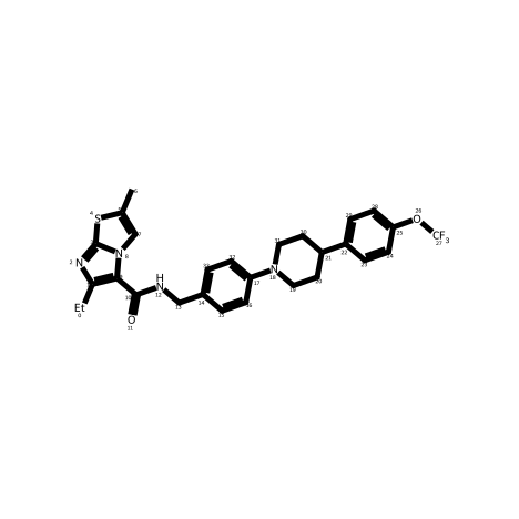 CCc1nc2sc(C)cn2c1C(=O)NCc1ccc(N2CCC(c3ccc(OC(F)(F)F)cc3)CC2)cc1